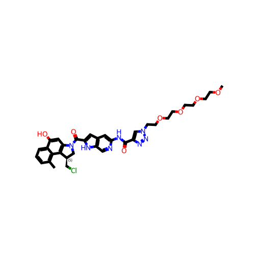 COCCOCCOCCOCCn1cc(C(=O)Nc2cc3cc(C(=O)N4C[C@@H](CCl)c5c4cc(O)c4cccc(C)c54)[nH]c3cn2)nn1